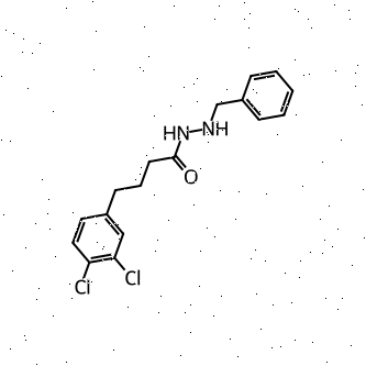 O=C(CCCc1ccc(Cl)c(Cl)c1)NNCc1ccccc1